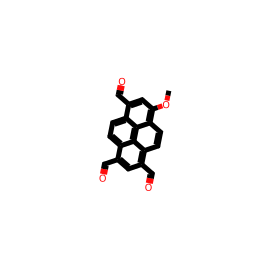 COc1cc(C=O)c2ccc3c(C=O)cc(C=O)c4ccc1c2c34